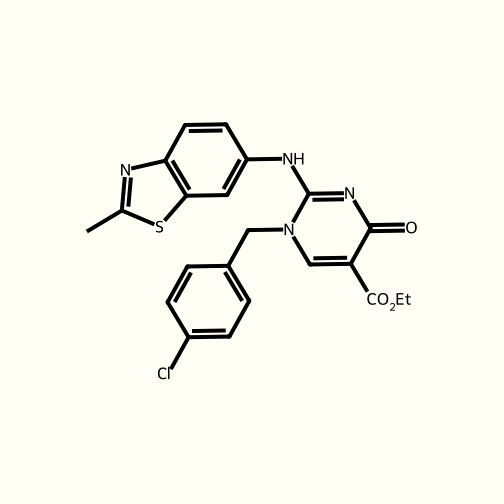 CCOC(=O)c1cn(Cc2ccc(Cl)cc2)c(Nc2ccc3nc(C)sc3c2)nc1=O